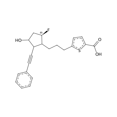 O=C(O)c1ccc(CCCC2C(C#Cc3ccccc3)C(O)C[C@H]2F)s1